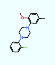 COc1ccc(C)cc1N1CCN(c2ccccc2F)CC1